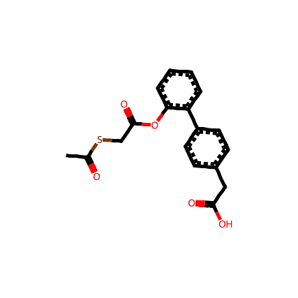 CC(=O)SCC(=O)Oc1ccccc1-c1ccc(CC(=O)O)cc1